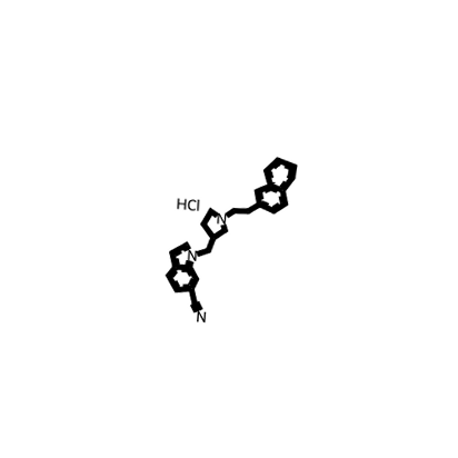 Cl.N#Cc1ccc2ccn(CC3CCN(CCc4ccc5ccccc5c4)C3)c2c1